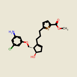 COC(=O)c1ccc(CCCC2=CC[C@@H](O)[C@@H]2COc2cc(N)cc(Cl)c2)s1